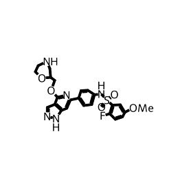 COc1ccc(F)c(S(=O)(=O)Nc2ccc(-c3cc4[nH]ncc4c(OCC4CNCCO4)n3)cc2)c1